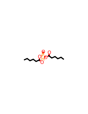 CCCCCC(=O)O[PH](=O)OC(=O)CCCCC